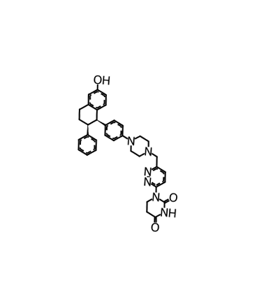 O=C1CCN(c2ccc(CN3CCN(c4ccc([C@@H]5c6ccc(O)cc6CC[C@@H]5c5ccccc5)cc4)CC3)nn2)C(=O)N1